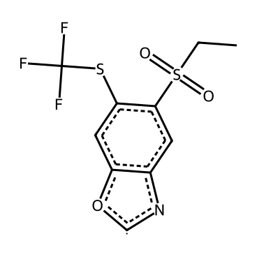 CCS(=O)(=O)c1cc2n[c]oc2cc1SC(F)(F)F